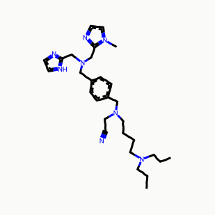 CCCN(CCC)CCCCN(CC#N)Cc1ccc(CN(Cc2ncc[nH]2)Cc2nccn2C)cc1